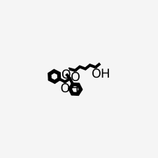 CC(O)CCCC1COC(c2ccccc2)(C(O)c2ccccc2)O1